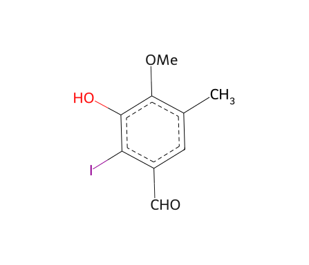 COc1c(C)cc(C=O)c(I)c1O